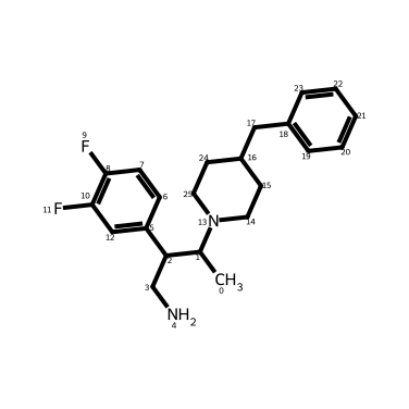 CC(C(CN)c1ccc(F)c(F)c1)N1CCC(Cc2ccccc2)CC1